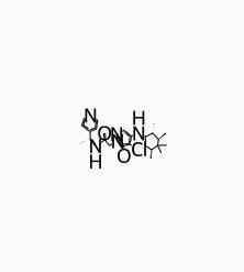 C[C@@H]1[C@@H](C)C(C)(C)[C@@H](C)C[C@H]1Nc1cnn(CC(=O)N[C@H](C)c2ccncc2)c(=O)c1Cl